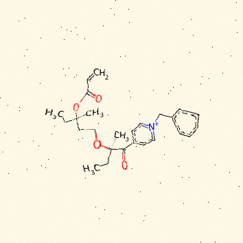 C=CC(=O)OC(C)(CC)CCO[C@](C)(CC)C(=O)c1cc[n+](Cc2ccccc2)cc1